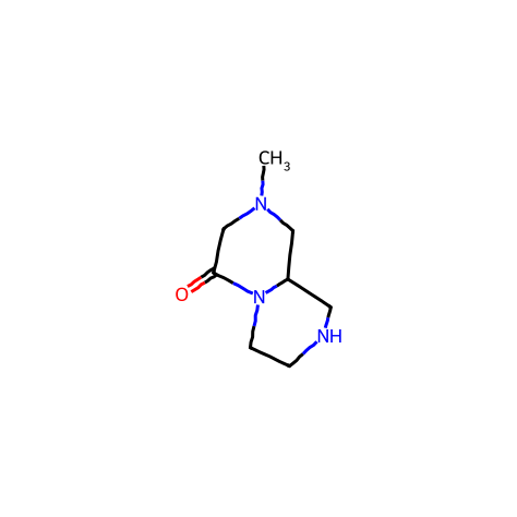 CN1CC(=O)N2CCNCC2C1